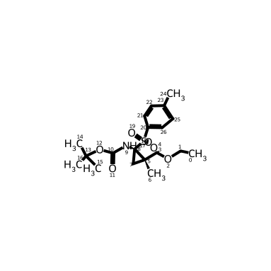 CCOC(=O)[C@]1(C)C[C@]1(NC(=O)OC(C)(C)C)S(=O)(=O)c1ccc(C)cc1